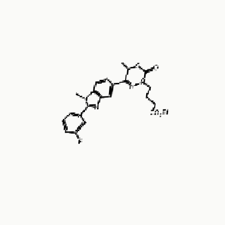 CCOC(=O)CCCN1N=C(c2ccc3c(c2)nc(-c2cccc(F)c2)n3C)C(C)SC1=O